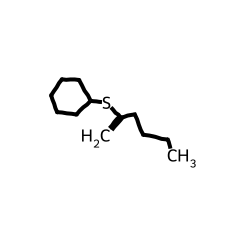 C=C(CCCC)SC1CCCCC1